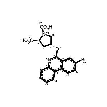 O=C(O)[C@@H]1C[C@@H](Oc2nc3ccccc3c3ccc(Br)cc23)CN1C(=O)O